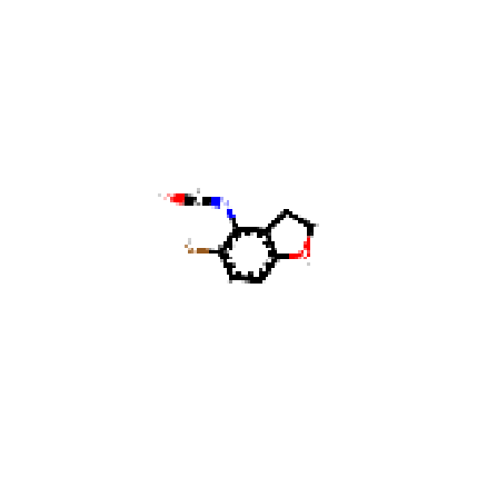 O=C=Nc1c(Br)ccc2c1CCO2